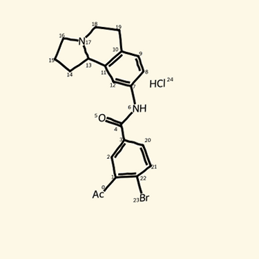 CC(=O)c1cc(C(=O)Nc2ccc3c(c2)C2CCCN2CC3)ccc1Br.Cl